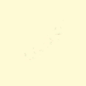 C#[N+][C@@H]1CCCN1C(=O)CN1CC[C@H](NC(=O)c2coc3cc(F)ccc23)C1